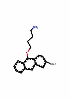 COc1ccc2c(OCCCCN)c3ccccc3cc2c1